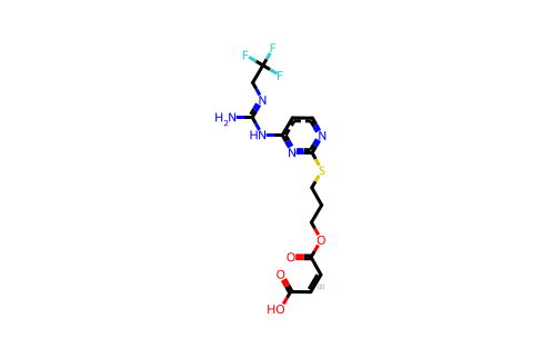 NC(=NCC(F)(F)F)Nc1ccnc(SCCCOC(=O)/C=C\C(=O)O)n1